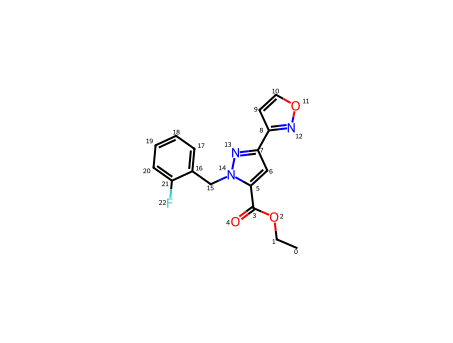 CCOC(=O)c1cc(-c2ccon2)nn1Cc1ccccc1F